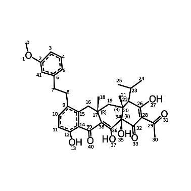 COc1cccc(CCc2ccc(O)c3c2C[C@]2(C)C[C@]4(C)C(C(C)C)C(O)=C(C(C)=O)C(=O)[C@]4(O)C(O)=C2C3=O)c1